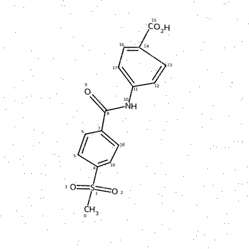 CS(=O)(=O)c1ccc(C(=O)Nc2ccc(C(=O)O)cc2)cc1